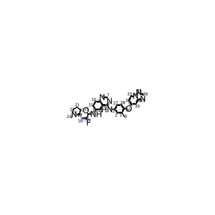 Cc1cc(Nc2ncnc3ccc(NC(=O)/C(F)=C\[C@H]4CCCN4C)cc23)ccc1Oc1ccn2ncnc2c1